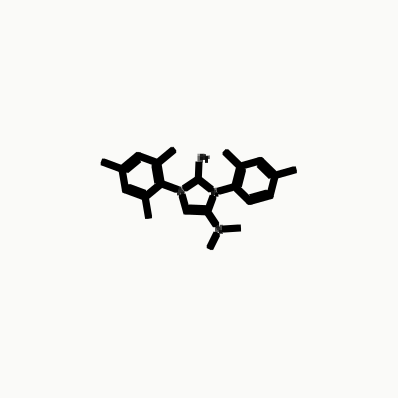 Cc1ccc(N2C(N(C)C)=CN(c3c(C)cc(C)cc3C)C2C(C)C)c(C)c1